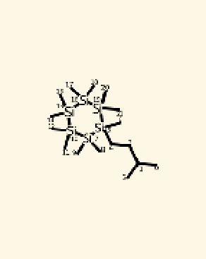 CC(C)CC[Si]1(C)[Si](C)(C)[Si](C)(C)[Si](C)(C)[Si](C)(C)[Si]1(C)C